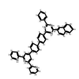 c1ccc(-c2nc(-c3ccc(-c4ccc(-c5cc(-c6ccccn6)nc(-c6ccccn6)c5)cc4)cc3)nc(-c3ccc4ccccc4c3)n2)cc1